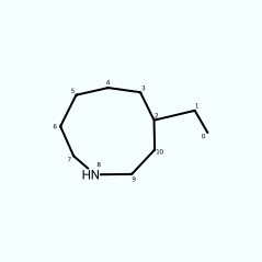 CCC1CCCCCNCC1